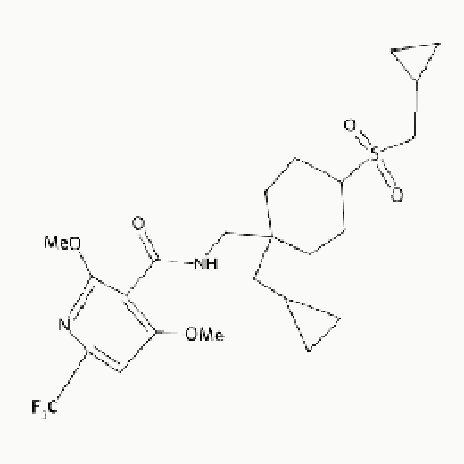 COc1cc(C(F)(F)F)nc(OC)c1C(=O)NCC1(CC2CC2)CCC(S(=O)(=O)CC2CC2)CC1